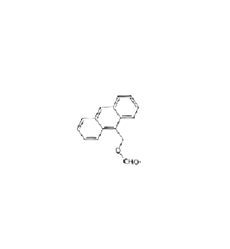 O=[C]OCc1c2ccccc2cc2ccccc12